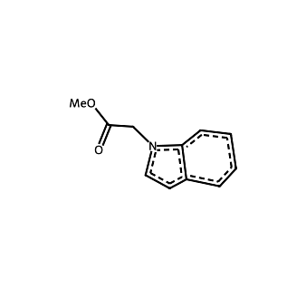 COC(=O)Cn1ccc2ccccc21